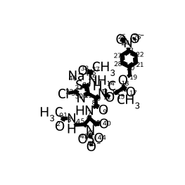 CC(=O)NCC1C(NC(=O)C(=NOC(C)(C)C(=O)OCc2ccc([N+](=O)[O-])cc2)c2nc(Cl)sc2NC(C)=O)C(=O)N1S(=O)(=O)[O-].[Na+]